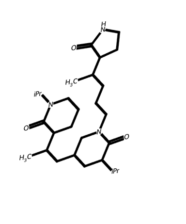 CC(C)C1CC(CC(C)C2CCCN(C(C)C)C2=O)CN(CCCC(C)C2CCNC2=O)C1=O